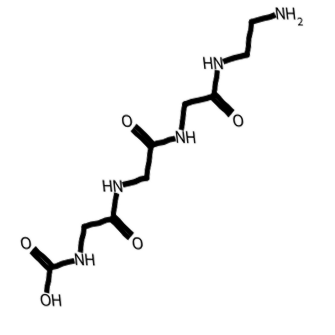 NCCNC(=O)CNC(=O)CNC(=O)CNC(=O)O